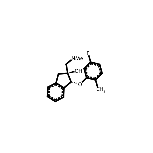 CNC[C@@]1(O)Cc2ccccc2[C@H]1Oc1cc(F)ccc1C